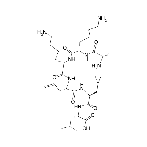 C=CC[C@H](NC(=O)[C@H](CCCCN)NC(=O)[C@H](CCCCN)NC(=O)[C@H](C)N)C(=O)N[C@@H](CC1CC1)C(=O)N[C@@H](CC(C)C)C(=O)O